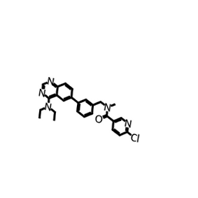 CCN(CC)c1ncnc2ccc(-c3cccc(CN(C)C(=O)c4ccc(Cl)nc4)c3)cc12